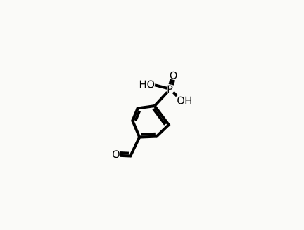 O=Cc1ccc(P(=O)(O)O)cc1